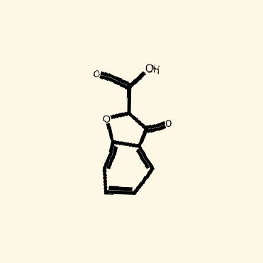 O=C(O)C1Oc2ccccc2C1=O